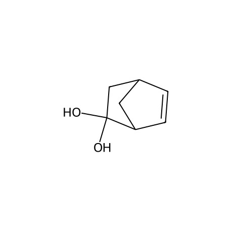 OC1(O)CC2C=CC1C2